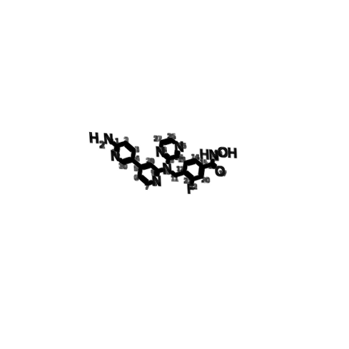 Nc1ccc(-c2ccnc(N(Cc3ccc(C(=O)NO)cc3F)c3cnccn3)c2)cn1